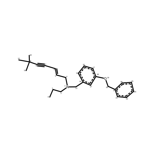 CCCN(C/C=C/C#CC(C)(C)C)Cc1cccc(OCc2ccccc2)c1